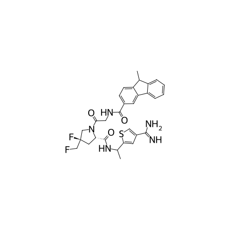 CC(NC(=O)[C@@H]1C[C@](F)(CF)CN1C(=O)CNC(=O)c1ccc2c(c1)-c1ccccc1C2C)c1cc(C(=N)N)cs1